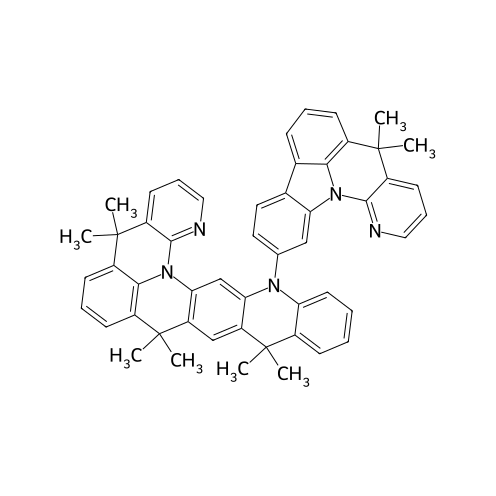 CC1(C)c2ccccc2N(c2ccc3c4cccc5c4n(c3c2)-c2ncccc2C5(C)C)c2cc3c(cc21)C(C)(C)c1cccc2c1N3c1ncccc1C2(C)C